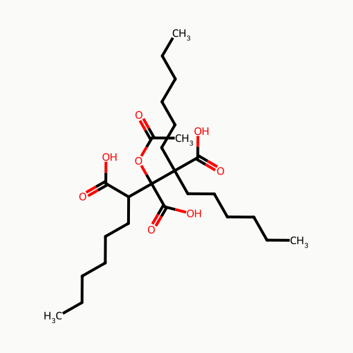 CCCCCCC(C(=O)O)C(OC(C)=O)(C(=O)O)C(CCCCCC)(CCCCCC)C(=O)O